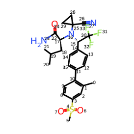 Cc1cc(S(C)(=O)=O)ccc1-c1ccc([C@H](N([C@@H](CC(C)C)C(N)=O)C2(C#N)CC2)C(F)(F)F)cc1